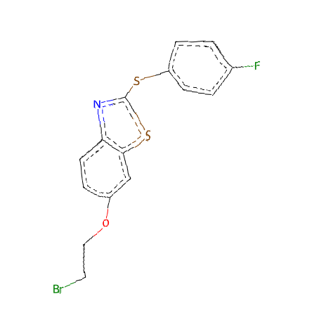 Fc1ccc(Sc2nc3ccc(OCCBr)cc3s2)cc1